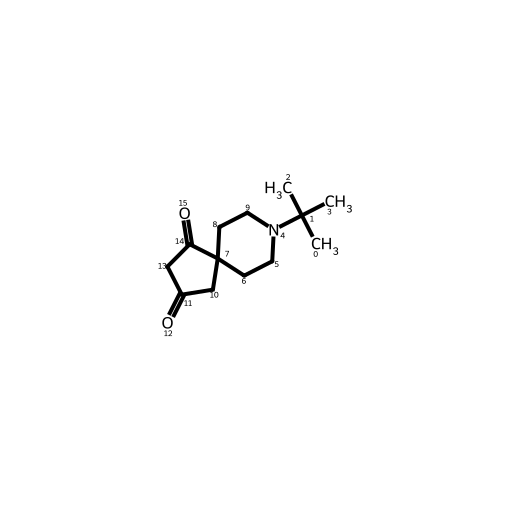 CC(C)(C)N1CCC2(CC1)CC(=O)CC2=O